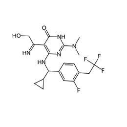 CN(C)c1nc(NC(c2ccc(CC(F)(F)F)c(F)c2)C2CC2)c(C(=N)CO)c(=O)[nH]1